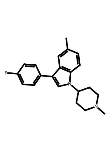 Cc1ccc2c(c1)c(-c1ccc(F)cc1)cn2C1CCN(C)CC1